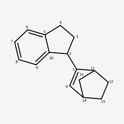 C1=C(C2CCc3ccccc32)C2CCC1C2